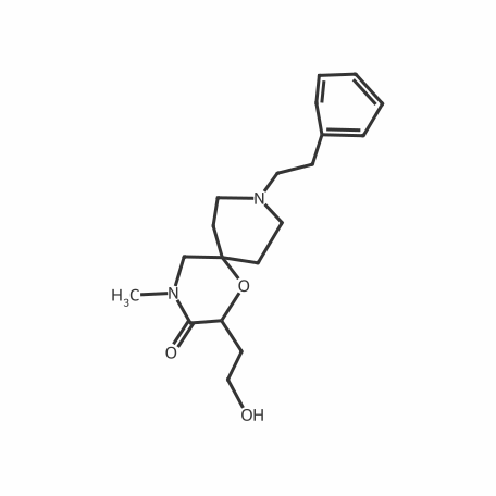 CN1CC2(CCN(CCc3ccccc3)CC2)OC(CCO)C1=O